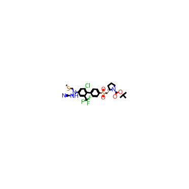 CSCN(NC#N)c1cc(Cl)c(-c2ccc(S(=O)(=O)C[C@@H]3CCCN3C(=O)OC(C)(C)C)cc2)c(C(F)(F)F)c1